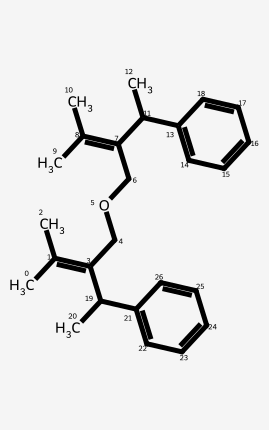 CC(C)=C(COCC(=C(C)C)C(C)c1ccccc1)C(C)c1ccccc1